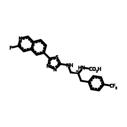 O=C(O)N[C@H](CNc1nnc(-c2ccc3cnc(F)cc3c2)s1)Cc1ccc(C(F)(F)F)cc1